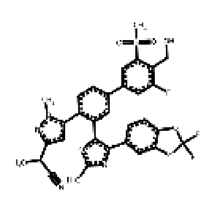 Cc1nc(-c2ccc3c(c2)OC(F)(F)O3)c(-c2cc(-c3cc(F)c(CO)c(S(C)(=O)=O)c3)ccc2-c2cc(C(C)C#N)nn2C)o1